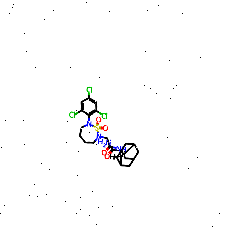 NC(=O)[C@]12CC3CC(C1)[C@@H](NC(=O)CN1CCCCN(c4c(Cl)cc(Cl)cc4Cl)S1(=O)=O)C(C3)C2